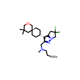 CNCCN(C)Cc1nn2c(c1[C@H]1CC[C@]3(CC1)COCC(C)(C)C3)CC(F)(F)C2